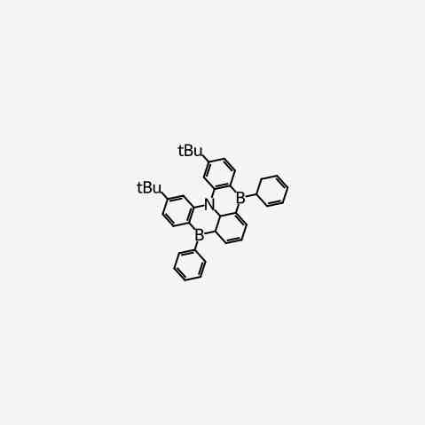 CC(C)(C)c1ccc2c(c1)N1c3cc(C(C)(C)C)ccc3B(c3ccccc3)C3C=CC=C(B2C2C=CC=CC2)C31